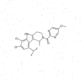 COc1cnc(C(=O)N2CCc3[nH]c4c(Cl)c(Cl)cc(C(F)F)c4c3C2C)nc1